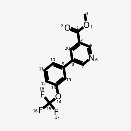 COC(=O)c1cncc(-c2cccc(OC(F)(F)F)c2)c1